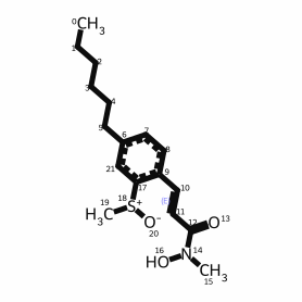 CCCCCCc1ccc(/C=C/C(=O)N(C)O)c([S+](C)[O-])c1